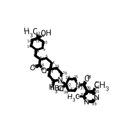 CCCCC1CC2(CCC(CC3CCC(C)(O)CC3)C(=O)O2)CCN1C1(C)CCN(C(=O)c2c(C)ncnc2C)CC1